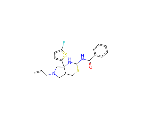 C=CCN1CC2CSC(NC(=O)c3ccccc3)NC2(c2ccc(F)s2)C1